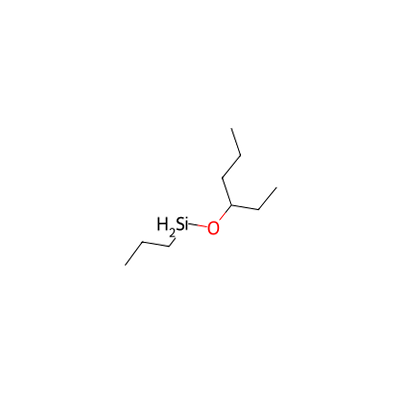 CCC[SiH2]OC(CC)CCC